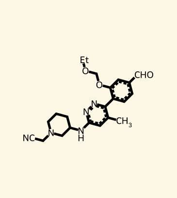 CCOCOc1cc(C=O)ccc1-c1nnc(NC2CCCN(CC#N)C2)cc1C